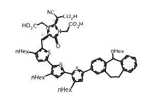 CCCCCCc1cc(-c2sc(-c3sc(-c4ccc5c(c4)CCc4ccccc4C5CCCCCC)cc3CCCCCC)cc2CCCCCC)sc1/C=c1\c(=O)n(CC(=O)O)/c(=C(/C#N)C(=O)O)n1CC(=O)O